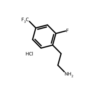 Cl.NCCc1ccc(C(F)(F)F)cc1F